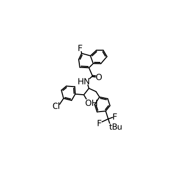 CC(C)(C)C(F)(F)c1ccc(CC(NC(=O)c2ccc(F)c3ccccc23)C(O)c2cccc(Cl)c2)cc1